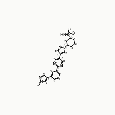 Cn1cc(-c2cccc(-c3ncc(-c4cnn(C5CCC[C@@H](S(C)(=N)=O)C5)c4)cn3)c2)cn1